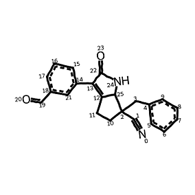 N#CC1(Cc2ccccc2)CCC2=C(c3cccc(C=O)c3)C(=O)NC21